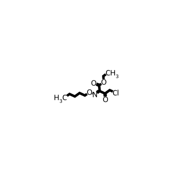 CCCCCON=C(C(=O)CCl)C(=O)OCC